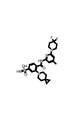 Cc1cc(NC(=O)c2ccc([S@@](=N)(=O)O)cc2N2CCC3(CC2)CC3)nc(N2CCC(F)(F)CC2)c1